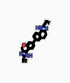 CCc1nc2c([nH]1)-c1ccc(-c3ccc4c(c3)CCc3nc(C(C)C)[nH]c3-4)cc1OC2